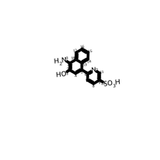 Nc1c(O)cc(-c2ccc(S(=O)(=O)O)cn2)c2ccccc12